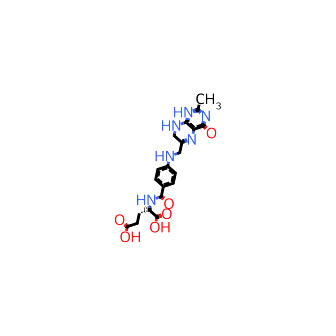 Cc1nc(=O)c2c([nH]1)NCC(CNc1ccc(C(=O)N[C@@H](CCC(=O)O)C(=O)O)cc1)=N2